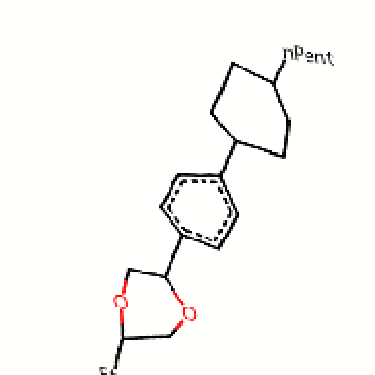 CCCCCC1CCC(c2ccc(C3COC(CC)CO3)cc2)CC1